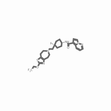 O=C(N[C@H]1CC[C@](F)(CCN2CCc3nc(OCC(F)(F)F)sc3CC2)CC1)c1ccn2ncccc12